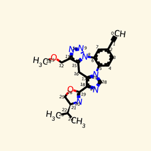 C#Cc1ccc2c(c1)-n1nnc(COC)c1Cc1c(C3=N[C@@H](C(C)C)CO3)ncn1-2